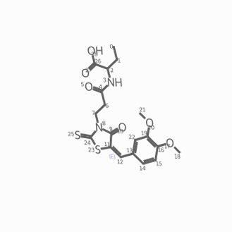 CCC(NC(=O)CCN1C(=O)/C(=C\c2ccc(OC)c(OC)c2)SC1=S)C(=O)O